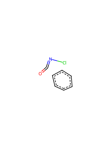 O=C=NCl.c1ccccc1